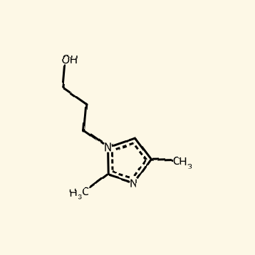 Cc1cn(CCCO)c(C)n1